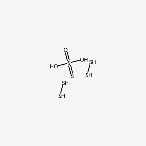 O=S(O)(O)=S.SS.SS